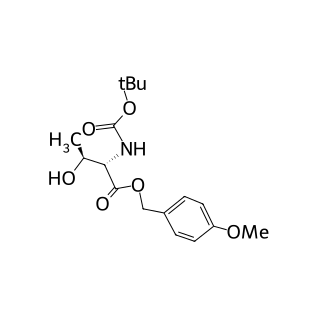 COc1ccc(COC(=O)[C@@H](NC(=O)OC(C)(C)C)[C@H](C)O)cc1